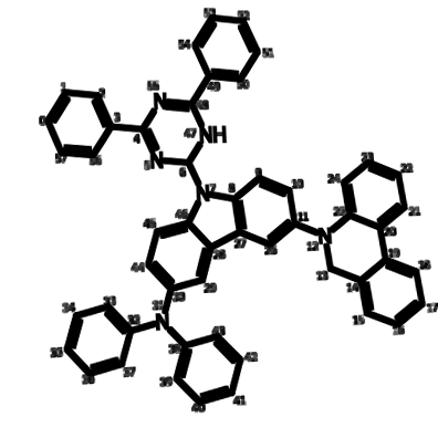 c1ccc(C2=NC(n3c4ccc(N5Cc6ccccc6-c6ccccc65)cc4c4cc(N(c5ccccc5)c5ccccc5)ccc43)NC(c3ccccc3)=N2)cc1